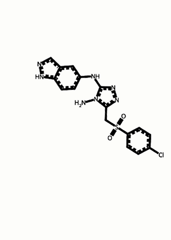 Nn1c(CS(=O)(=O)c2ccc(Cl)cc2)nnc1Nc1ccc2[nH]ncc2c1